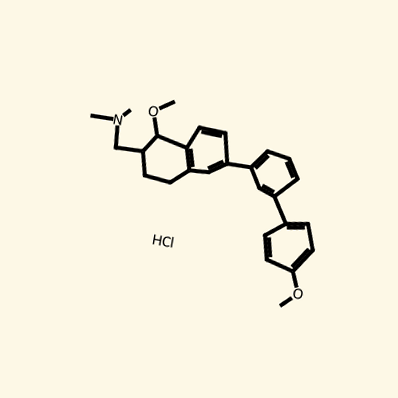 COc1ccc(-c2cccc(-c3ccc4c(c3)CCC(CN(C)C)C4OC)c2)cc1.Cl